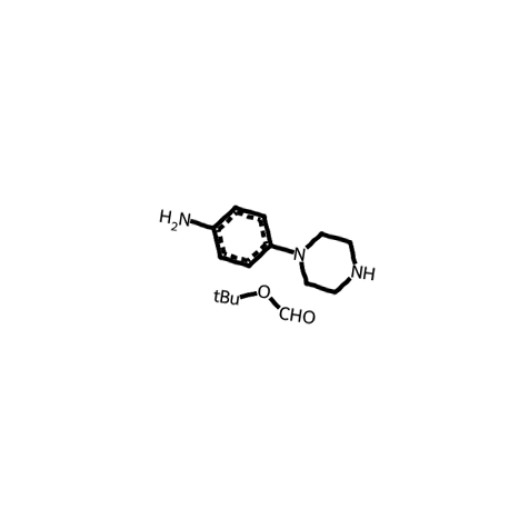 CC(C)(C)OC=O.Nc1ccc(N2CCNCC2)cc1